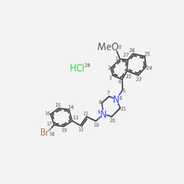 COc1ccc(CN2CCN(C/C=C/c3cccc(Br)c3)CC2)c2ccccc12.Cl